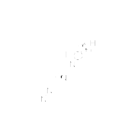 CS(=O)(=O)c1ccc(N2CCC(=NOC3CCN(C#N)CC3)CC2)c(F)c1